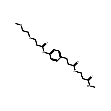 CNC(=O)CCNC(=O)CCc1ccc(NC(=O)CCOCCOC)cc1